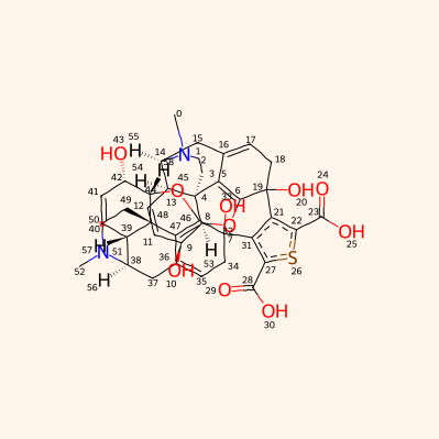 CN1CC[C@]23C4=C5O[C@H]2[C@@H](O)C=C[C@H]3[C@H]1CC4=CCC5(O)c1c(C(=O)O)sc(C(=O)O)c1C1(O)CC=C2C[C@@H]3[C@@H]4C=C[C@H](O)[C@@H]5OC1=C2[C@]45CCN3C